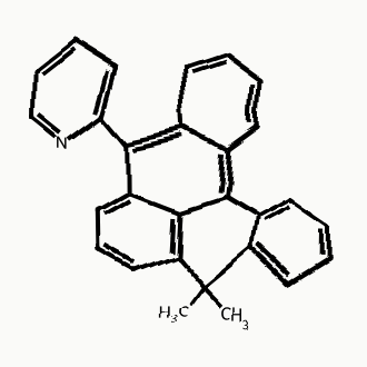 CC1(C)c2ccccc2-c2c3ccccc3c(-c3ccccn3)c3cccc1c23